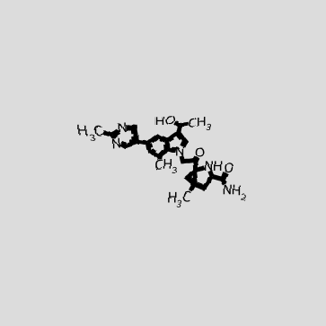 Cc1ncc(-c2cc(C)c3c(c2)c(C(C)O)cn3CC(=O)C23CC2(C)CC(C(N)=O)N3)cn1